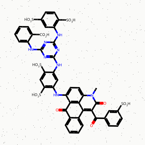 Cn1c(=O)c(C(=O)c2cccc(S(=O)(=O)O)c2)c2c3c(c(Nc4cc(Nc5nc(Nc6ccccc6C(=O)O)nc(Nc6cc(S(=O)(=O)O)ccc6S(=O)(=O)O)n5)c(S(=O)(=O)O)cc4S(=O)(=O)O)ccc31)C(=O)c1ccccc1-2